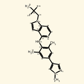 Cc1cc(-c2cnn(C)c2)cc(C)c1Nc1nccc2c1ccn2CC(C)(F)F